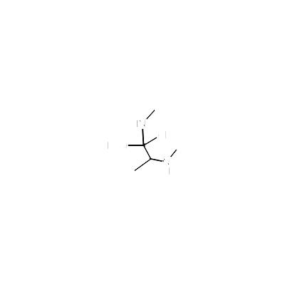 CNC(C)C([SiH3])(Cl)NC